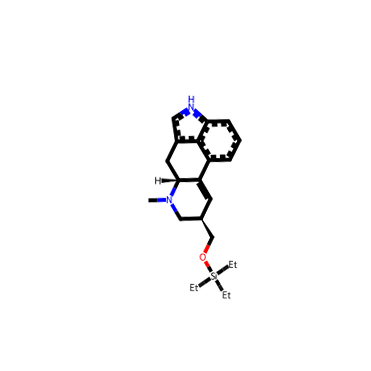 CC[Si](CC)(CC)OC[C@@H]1C=C2c3cccc4[nH]cc(c34)C[C@H]2N(C)C1